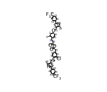 Cc1cc(OCc2sc(-c3ccc(C(F)(F)F)cc3)nc2C)ccc1/C=C/C(=O)OC(=O)Cc1ccc(SCc2sc(-c3ccc(C(F)(F)F)cc3)nc2C)c(Cl)c1